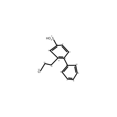 O=S(=O)(O)c1ccc(-c2ccccc2)c(CCCl)c1